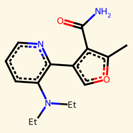 CCN(CC)c1cccnc1-c1coc(C)c1C(N)=O